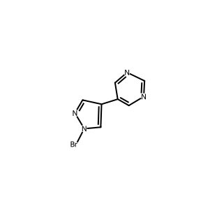 Brn1cc(-c2cncnc2)cn1